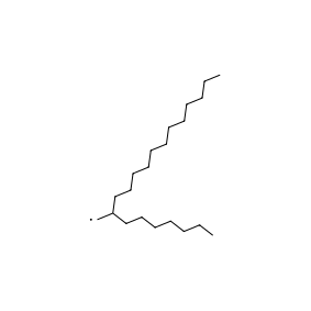 [CH2]C(CCCCCCC)CCCCCCCCCCCC